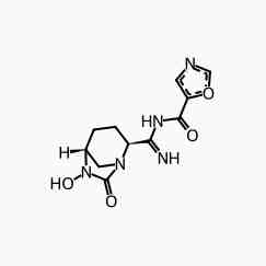 N=C(NC(=O)c1cnco1)[C@@H]1CC[C@@H]2CN1C(=O)N2O